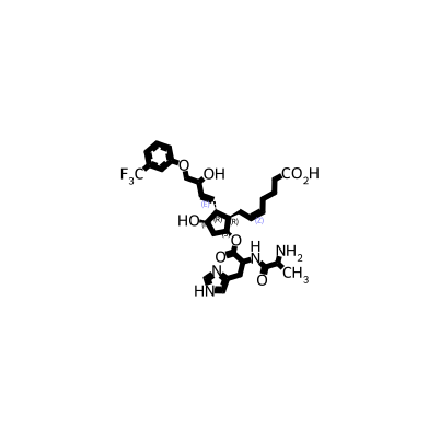 CC(N)C(=O)NC(Cc1c[nH]cn1)C(=O)O[C@H]1C[C@@H](O)[C@H](/C=C/C(O)COc2cccc(C(F)(F)F)c2)[C@H]1C/C=C\CCCC(=O)O